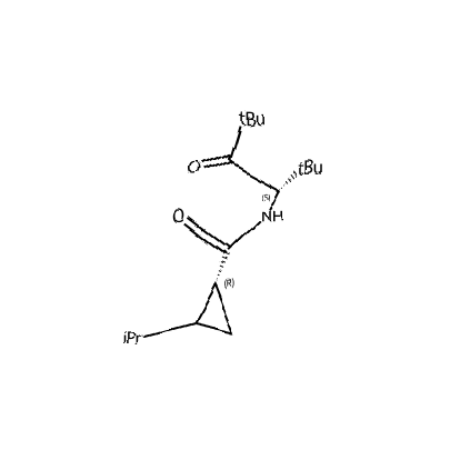 CC(C)C1C[C@H]1C(=O)N[C@H](C(=O)C(C)(C)C)C(C)(C)C